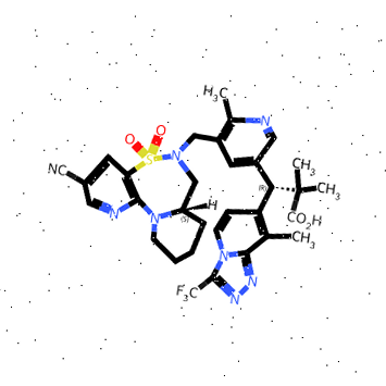 Cc1ncc([C@@H](c2ccn3c(C(F)(F)F)nnc3c2C)C(C)(C)C(=O)O)cc1CN1C[C@@H]2CCCCN2c2ncc(C#N)cc2S1(=O)=O